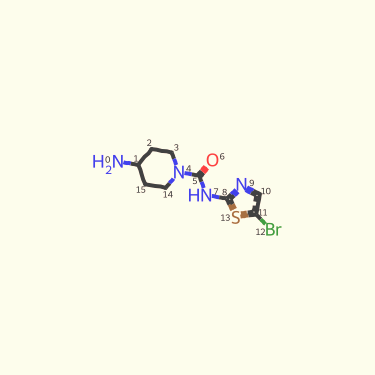 NC1CCN(C(=O)Nc2ncc(Br)s2)CC1